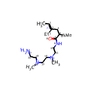 C/C=C(\CC)CC(NC)C(=O)NCCN(C)CCN(C)CCN